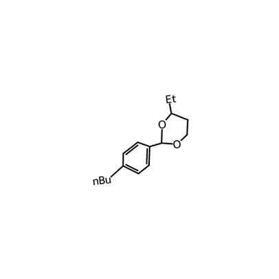 CCCCc1ccc(C2OCCC(CC)O2)cc1